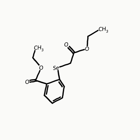 CCOC(=O)C[Se]c1ccccc1C(=O)OCC